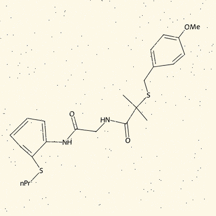 CCCSc1ccccc1NC(=O)CNC(=O)C(C)(C)SCc1ccc(OC)cc1